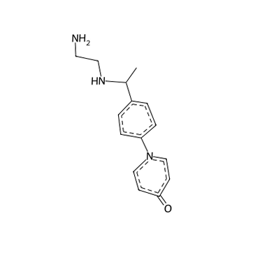 CC(NCCN)c1ccc(-n2ccc(=O)cc2)cc1